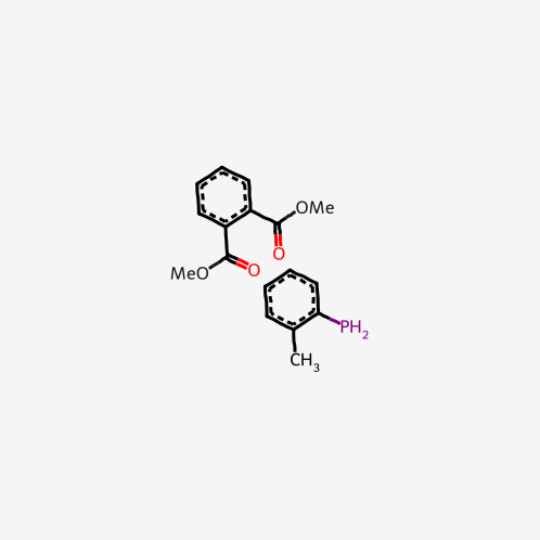 COC(=O)c1ccccc1C(=O)OC.Cc1ccccc1P